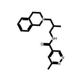 Cc1cc(C(=O)NCC(C)CN2CCc3ccccc3C2)cnn1